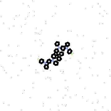 Fc1ccc(-n2c3ccccc3c3cc(N(c4ccccc4)c4ccc5c(c4)C(c4ccccc4)(c4ccccc4)c4cc(N(c6ccccc6)c6ccc7c(c6)c6ccccc6n7-c6ccc(F)cc6)ccc4-5)ccc32)cc1